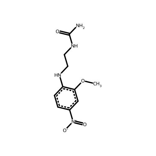 COc1cc([N+](=O)[O-])ccc1NCCNC(N)=O